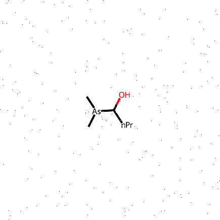 CCCC(O)[As](C)C